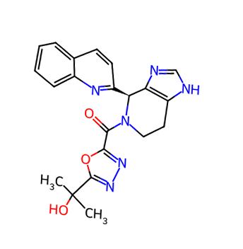 CC(C)(O)c1nnc(C(=O)N2CCc3[nH]cnc3[C@@H]2c2ccc3ccccc3n2)o1